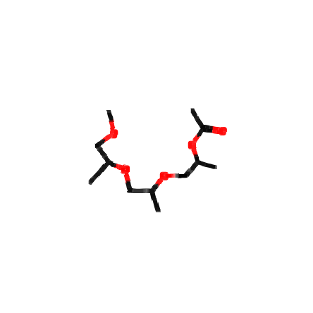 COCC(C)OCC(C)OCC(C)OC(C)=O